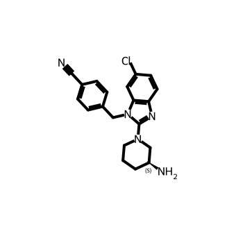 N#Cc1ccc(Cn2c(N3CCC[C@H](N)C3)nc3ccc(Cl)cc32)cc1